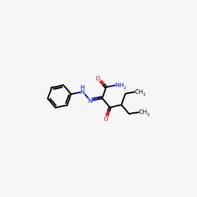 CCC(CC)C(=O)C(=NNc1ccccc1)C(N)=O